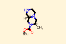 C[C@H]1CN2CCNC[C@H]2CN1C(=O)OC(C)(C)C